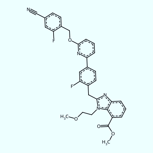 COCCn1c(Cc2ccc(-c3cccc(OCc4ccc(C#N)cc4F)n3)cc2F)nc2cccc(C(=O)OC)c21